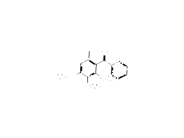 COc1cc(C)c(C(=O)c2ccccc2)c(OC)c1OC